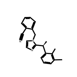 Cc1cccc([C@H](C)c2nccn2Cc2ccccc2C#N)c1C